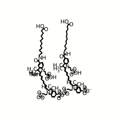 CC1(C)C(=CC=CC=CC=CC2=[N+](CCS(=O)(=O)[O-])c3ccc(S(=O)(=O)[O-])cc3C2(C)C)N(CCS(=O)(=O)O)c2ccc(C(=O)NCCCCCCCCCCCC(=O)O)cc21.CC1(C)C(=CC=CC=CC=CC2=[N+](CCS(=O)(=O)[O-])c3ccc(S(=O)(=O)[O-])cc3C2(C)C)N(CCS(=O)(=O)O)c2ccc(C(=O)NCCCCCCCCCCCC(=O)O)cc21.[Na+].[Na+]